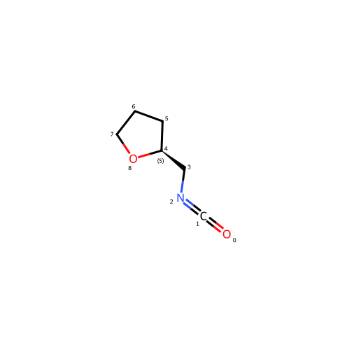 O=C=NC[C@@H]1CCCO1